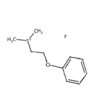 C[S+](C)CCOc1ccccc1.[I-]